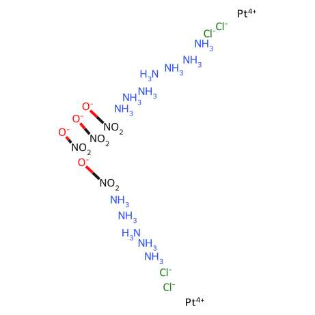 N.N.N.N.N.N.N.N.N.N.N.N.O=[N+]([O-])[O-].O=[N+]([O-])[O-].O=[N+]([O-])[O-].O=[N+]([O-])[O-].[Cl-].[Cl-].[Cl-].[Cl-].[Pt+4].[Pt+4]